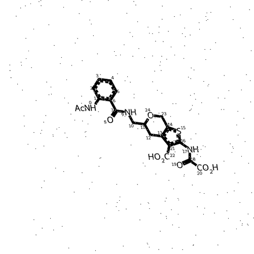 CC(=O)Nc1ccccc1C(=O)NCC1Cc2c(sc(NC(=O)C(=O)O)c2C(=O)O)CO1